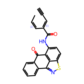 C#C/C=C(\C=C/C)C(=O)Nc1ccc2snc3c2c1C(=O)c1ccccc1-3